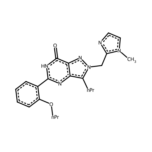 CCCOc1ccccc1-c1nc2c(CCC)n(Cc3nccn3C)nc2c(=O)[nH]1